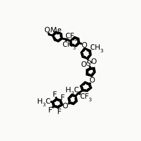 COCc1ccc(C(C)(c2ccc(Oc3ccc(S(=O)(=O)c4ccc(Oc5ccc(C(C)(c6ccc(Oc7c(F)c(F)c(C)c(F)c7F)cc6)C(F)(F)F)cc5)cc4)cc3C)cc2)C(F)(F)F)cc1